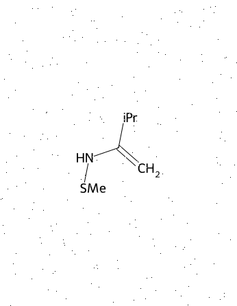 C=C(NSC)C(C)C